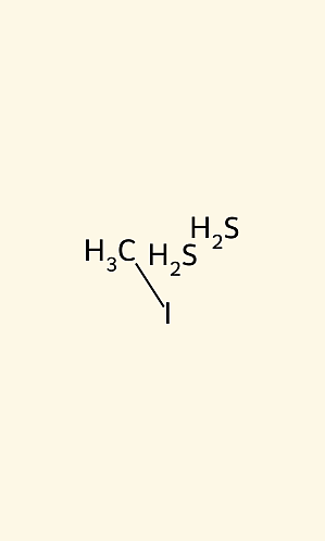 CI.S.S